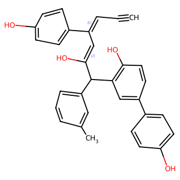 C#C/C=C(\C=C(/O)C(c1cccc(C)c1)c1cc(-c2ccc(O)cc2)ccc1O)c1ccc(O)cc1